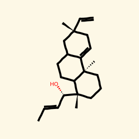 C=C[C@]1(C)CC=C2C(CCC3[C@@](C)([C@@H](O)/C=C/C)CCC[C@]23C)C1